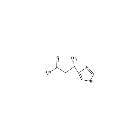 C[C@@H](CC(N)=O)c1c[nH]cn1